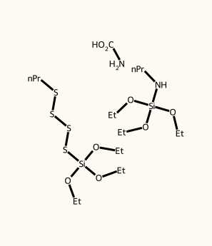 CCCN[Si](OCC)(OCC)OCC.CCCSSSS[Si](OCC)(OCC)OCC.NC(=O)O